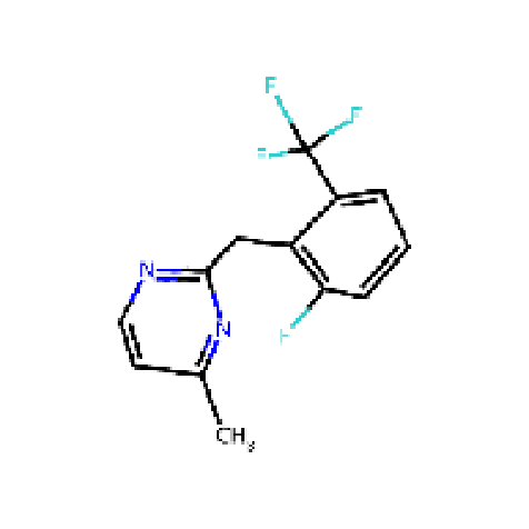 Cc1ccnc(Cc2c(F)cccc2C(F)(F)F)n1